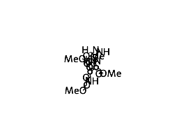 COCCOCNC(=O)Cc1ccc(OCOCCOC)c(-c2cc(CC(=O)OC)cc(-c3nc4cc(C(=N)N)ccc4[nH]3)c2OCOCCOC)c1